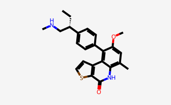 CC[C@@H](CNC)c1ccc(-c2c(OC)cc(C)c3[nH]c(=O)c4sccc4c23)cc1